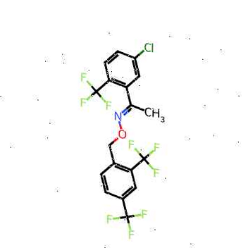 C/C(=N\OCc1ccc(C(F)(F)F)cc1C(F)(F)F)c1cc(Cl)ccc1C(F)(F)F